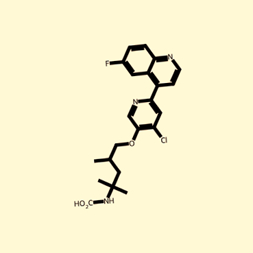 CC(COc1cnc(-c2ccnc3ccc(F)cc23)cc1Cl)CC(C)(C)NC(=O)O